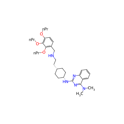 CCCOc1ccc(CNCC[C@H]2CC[C@@H](Nc3nc(N(C)C)c4ccccc4n3)CC2)c(OCCC)c1OCCC